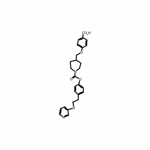 O=C(O)c1ccc(OCC2CCN(C(=O)Oc3ccc(CCOc4cccnc4)cc3)CC2)cc1